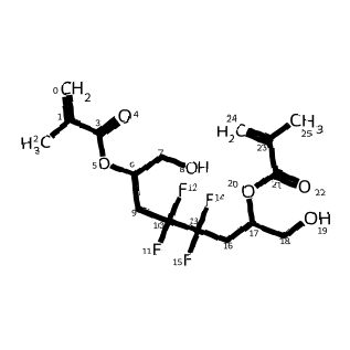 C=C(C)C(=O)OC(CO)CC(F)(F)C(F)(F)CC(CO)OC(=O)C(=C)C